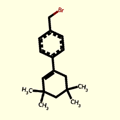 CC1(C)C=C(c2ccc(CBr)cc2)CC(C)(C)C1